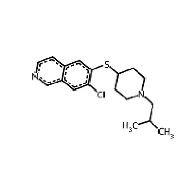 CC(C)CN1CCC(Sc2cc3ccncc3cc2Cl)CC1